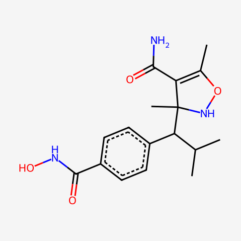 CC1=C(C(N)=O)C(C)(C(c2ccc(C(=O)NO)cc2)C(C)C)NO1